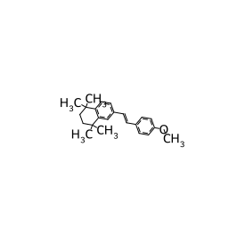 COc1ccc(C=Cc2ccc3c(c2)C(C)(C)CCC3(C)C)cc1